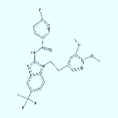 COc1ccc(CCn2c(NC(=O)c3ccc(F)cc3)nc3cc(C(F)(F)F)ccc32)cc1OC